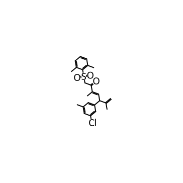 C=C(C)C(/C=C(\C)C(=O)CS(=O)(=O)c1c(C)cccc1C)c1cc(C)cc(Cl)c1